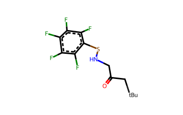 CC(C)(C)CC(=O)CNSc1c(F)c(F)c(F)c(F)c1F